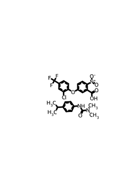 CC(C)c1ccc(NC(=O)N(C)C)cc1.O=C(O)c1cc(Oc2ccc(C(F)(F)F)cc2Cl)ccc1[N+](=O)[O-]